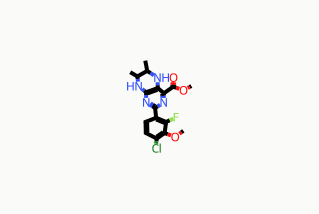 COC(=O)c1nc(-c2ccc(Cl)c(OC)c2F)nc2c1NC(C)C(C)N2